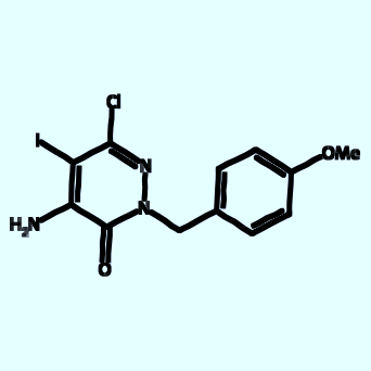 COc1ccc(Cn2nc(Cl)c(I)c(N)c2=O)cc1